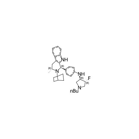 CCCCN1C[C@@H](F)[C@H](Nc2ccc([C@@H]3c4[nH]c5ccccc5c4C[C@@H](C)N3C34CCC3CC4)cc2)C1